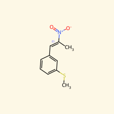 CSc1cccc(/C=C(\C)[N+](=O)[O-])c1